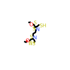 CCOC(=S)c1sc(CCc2nc(CS)c(C(=S)OCC)s2)nc1CS